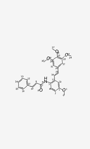 COc1ccc(NC(=O)/C=C/c2ccccc2)c(C=Cc2cc(OC)c(OC)c(OC)c2)c1